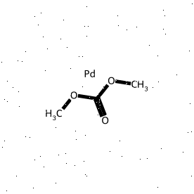 COC(=O)OC.[Pd]